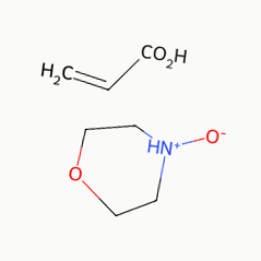 C=CC(=O)O.[O-][NH+]1CCOCC1